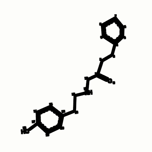 O=C(CCc1ccccc1)CNCCc1ccc(O)cc1